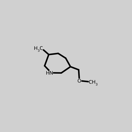 COCC1CCC(C)CNC1